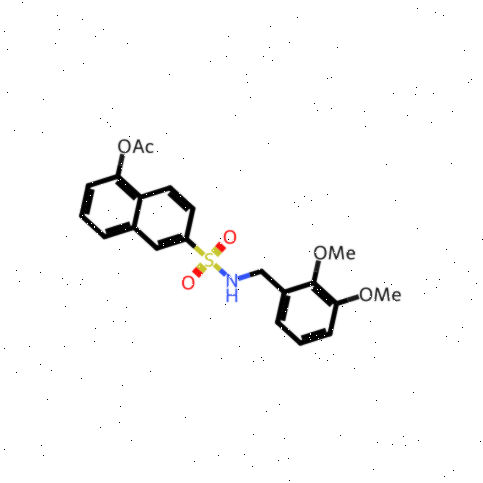 COc1cccc(CNS(=O)(=O)c2ccc3c(OC(C)=O)cccc3c2)c1OC